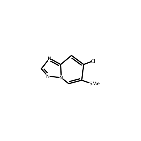 CSc1cn2ncnc2cc1Cl